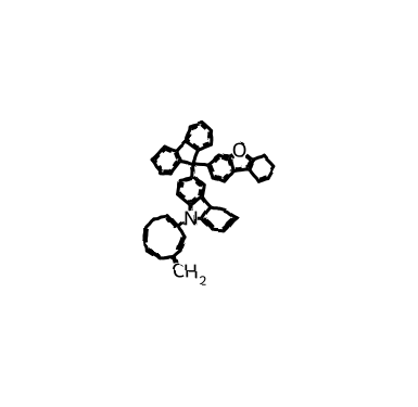 C=C1/C=C\C=C/C/C=C(N2C3=CC=CCC3c3cc(C4(c5ccc6c7c(oc6c5)CCC=C7)c5ccccc5-c5ccccc54)ccc32)\C=C/1